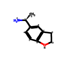 C[C@@H](N)c1ccc2c(c1)CCO2